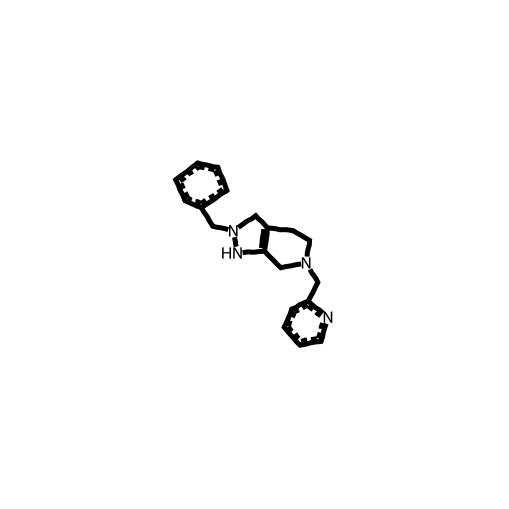 c1ccc(CN2CC3=C(CN(Cc4ccccn4)CC3)N2)cc1